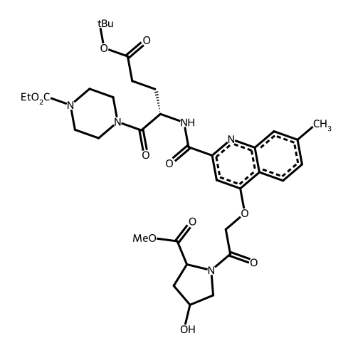 CCOC(=O)N1CCN(C(=O)[C@H](CCC(=O)OC(C)(C)C)NC(=O)c2cc(OCC(=O)N3CC(O)CC3C(=O)OC)c3ccc(C)cc3n2)CC1